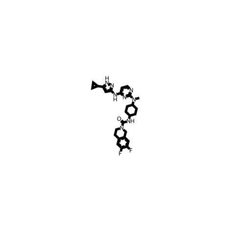 CN(c1nccc(Nc2cc(C3CC3)[nH]n2)n1)C1CCC(NC(=O)N2CCc3cc(F)c(F)cc3C2)CC1